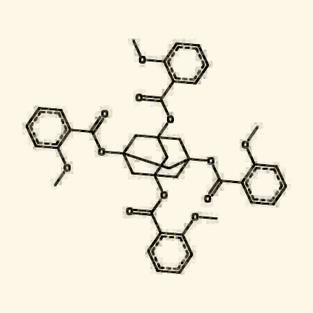 COc1ccccc1C(=O)OC12CC3(OC(=O)c4ccccc4OC)CC(OC(=O)c4ccccc4OC)(C1)CC(OC(=O)c1ccccc1OC)(C2)C3